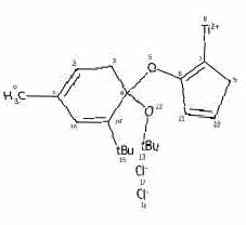 CC1=CCC(OC2=[C]([Ti+2])CC=C2)(OC(C)(C)C)C(C(C)(C)C)=C1.[Cl-].[Cl-]